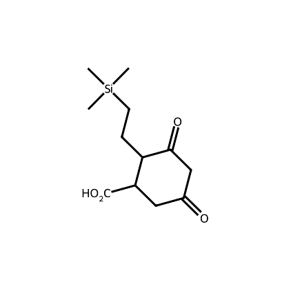 C[Si](C)(C)CCC1C(=O)CC(=O)CC1C(=O)O